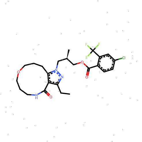 CCc1nn(C[C@@H](C)COC(=O)c2ccc(Cl)cc2C(F)(F)F)c2c1C(=O)NCCCOCCC2